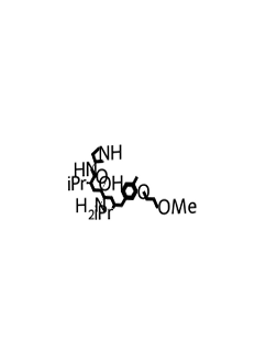 COCCCOc1cc(CC(C[C@H](N)[C@@H](O)C[C@H](C(=O)N[C@@H]2CCNC2)C(C)C)C(C)C)ccc1C